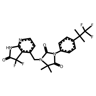 CC1(C)C(=O)N(c2ccc(C(C)(C)C(F)(F)F)cc2)C(=O)N1Cc1ccnc2c1C(F)(F)C(=O)N2